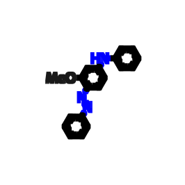 COc1cc(Nc2ccccc2)ccc1N=Nc1ccccc1